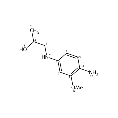 COc1cc(NCC(C)O)ccc1N